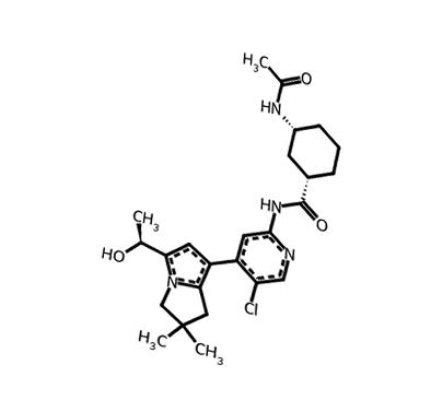 CC(=O)N[C@@H]1CCC[C@H](C(=O)Nc2cc(-c3cc([C@H](C)O)n4c3CC(C)(C)C4)c(Cl)cn2)C1